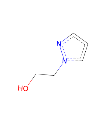 OCCn1cccn1